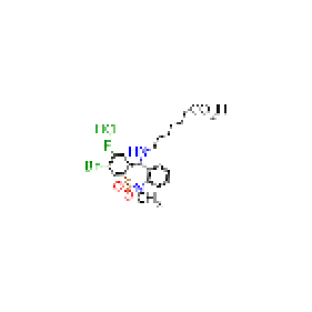 CN1c2ccccc2C(NCCCCCCC(=O)O)=C2CC(F)=C(Br)C=C2S1(=O)=O.Cl